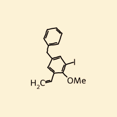 C=Cc1cc(Cc2ccccc2)cc(I)c1OC